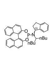 CCCCC(CCCC)N([C@H]1CCc2ccccc21)p1oc2ccc3ccccc3c2c2c(ccc3ccccc32)o1